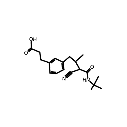 CC(Cc1cccc(CCC(=O)O)c1)C(C#N)C(=O)NC(C)(C)C